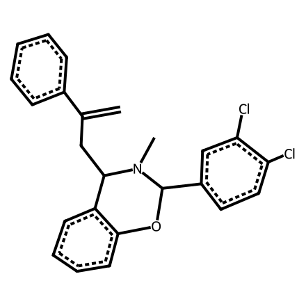 C=C(CC1c2ccccc2OC(c2ccc(Cl)c(Cl)c2)N1C)c1ccccc1